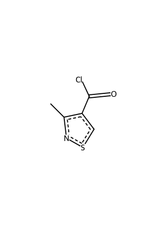 Cc1nscc1C(=O)Cl